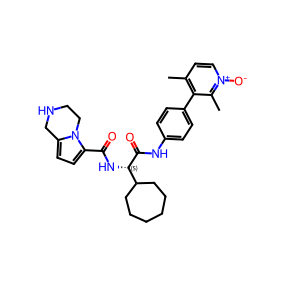 Cc1cc[n+]([O-])c(C)c1-c1ccc(NC(=O)[C@@H](NC(=O)c2ccc3n2CCNC3)C2CCCCCC2)cc1